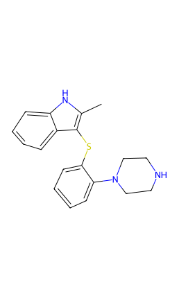 Cc1[nH]c2ccccc2c1Sc1ccccc1N1CCNCC1